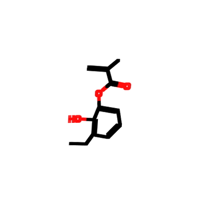 C=C(C)C(=O)Oc1cccc(CC)c1O